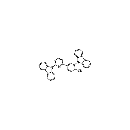 N#Cc1ccc(-c2cccc(-n3c4ccccc4c4ccccc43)n2)cc1-n1c2ccccc2c2ccccc21